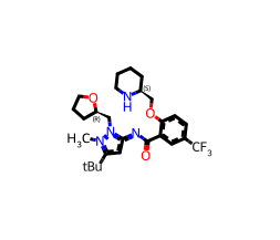 Cn1c(C(C)(C)C)cc(=NC(=O)c2cc(C(F)(F)F)ccc2OC[C@@H]2CCCCN2)n1C[C@H]1CCCO1